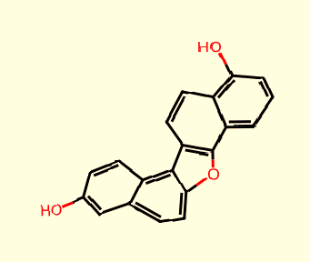 Oc1ccc2c(ccc3oc4c5cccc(O)c5ccc4c32)c1